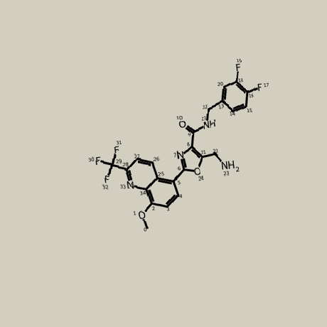 COc1ccc(-c2nc(C(=O)NCc3ccc(F)c(F)c3)c(CN)o2)c2ccc(C(F)(F)F)nc12